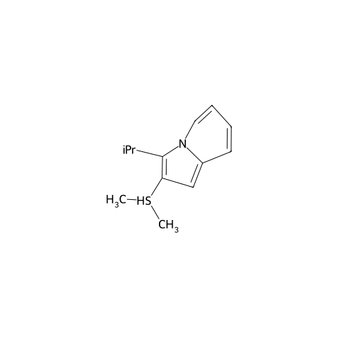 CC(C)c1c([SH](C)C)cc2ccccn12